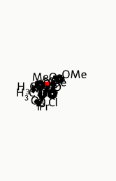 COc1ccc(S(=O)(=O)N2C(=O)[C@@](c3ccccc3OC)(N3CC(OC(=O)C(C)C)CC3C(=O)N(C)C)c3cc(Cl)ccc32)c(OC)c1